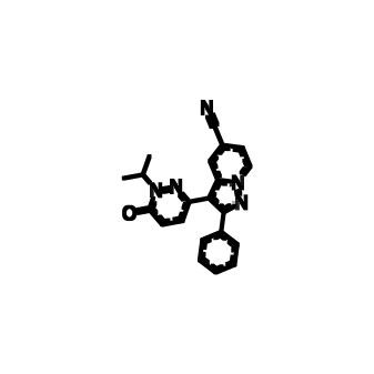 CC(C)n1nc(-c2c(-c3ccccc3)nn3ccc(C#N)cc23)ccc1=O